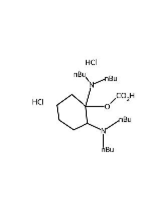 CCCCN(CCCC)C1CCCCC1(OC(=O)O)N(CCCC)CCCC.Cl.Cl